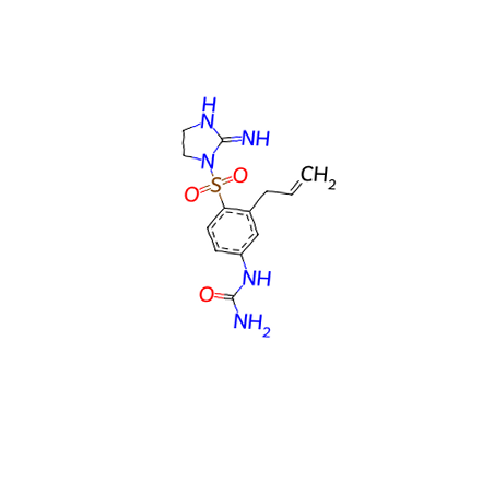 C=CCc1cc(NC(N)=O)ccc1S(=O)(=O)N1CCNC1=N